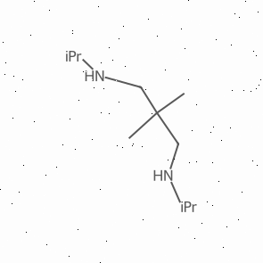 CC(C)NCC(C)(C)CNC(C)C